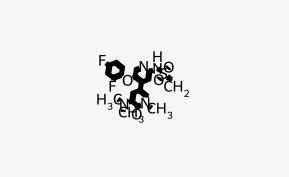 C=CS(=O)(=O)Nc1cc(-c2cc(N(C)C)c(=O)n(C)c2)c(Oc2ccc(F)cc2F)cn1